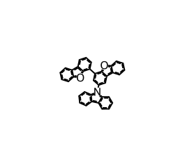 c1ccc2c(c1)oc1c(-c3cc(-n4c5ccccc5c5ccccc54)cc4c3oc3ccccc34)cccc12